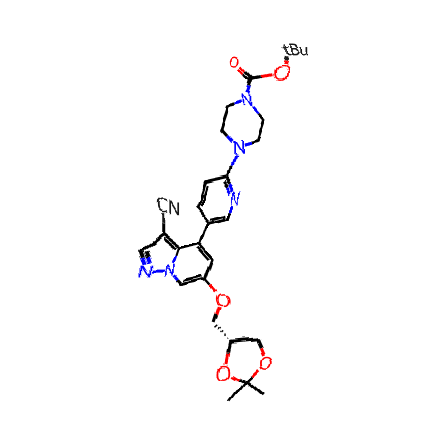 CC(C)(C)OC(=O)N1CCN(c2ccc(-c3cc(OC[C@@H]4COC(C)(C)O4)cn4ncc(C#N)c34)cn2)CC1